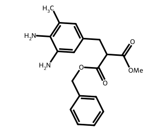 COC(=O)C(Cc1cc(C)c(N)c(N)c1)C(=O)OCc1ccccc1